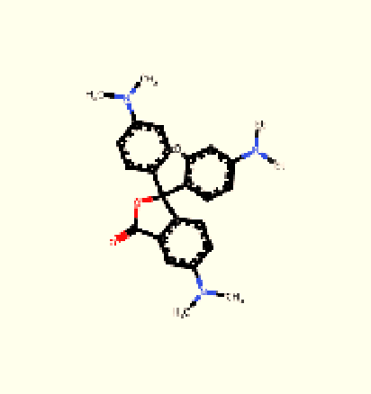 CCN(CC)c1ccc(C2(c3ccc(N(C)C)cc3)OC(=O)c3cc(N(C)C)ccc32)c(OC(C)=O)c1